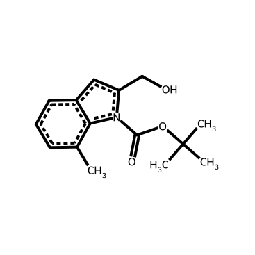 Cc1cccc2cc(CO)n(C(=O)OC(C)(C)C)c12